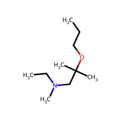 CCCOC(C)(C)CN(C)CC